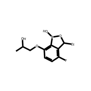 CCC1OB(O)c2c(OCC(C)O)ccc(F)c21